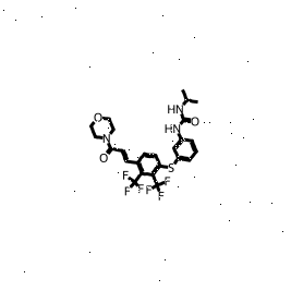 CC(C)NC(=O)Nc1cccc(Sc2ccc(C=CC(=O)N3CCOCC3)c(C(F)(F)F)c2C(F)(F)F)c1